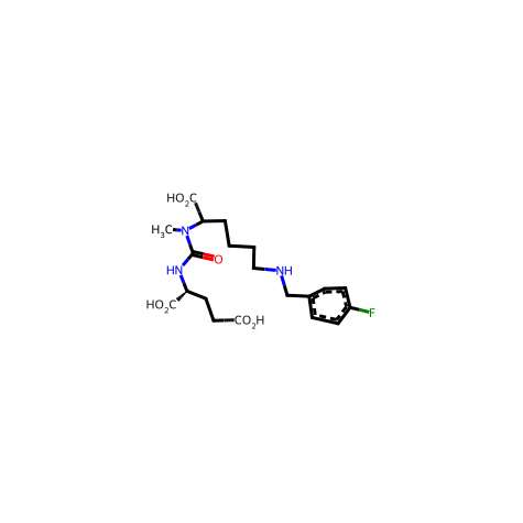 CN(C(=O)N[C@@H](CCC(=O)O)C(=O)O)C(CCCCNCc1ccc(F)cc1)C(=O)O